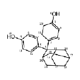 OC1=CC=C(C2(c3ccc(O)cc3)C3CC4CC(C3)CC2C4)CC1